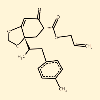 C=CCOC(=O)[C@@H]1C[C@]2(C(C)Cc3ccc(C)cc3)OCOC2=CC1=O